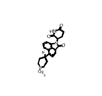 CN1CCC(F)(c2ccc3c4c(cccc24)N(C2CCC(=O)NC2=O)C3=O)CC1